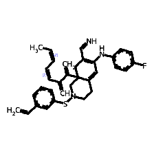 C=Cc1cccc(SN2CCC3=CC(Nc4ccc(F)cc4)=C(C=N)CC3(C(=C)C(=C)/C=C\C=C/C)C2)c1